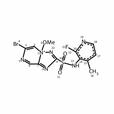 CO[N+]12C=C(Br)N=CC1=NC(S(=O)(=O)Nc1c(C)ccnc1F)=N2